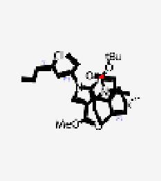 C=C/C=C(Cl)\C=C(/C=C)n1cc(C(=O)OC)c2c(/C3=C\[C@@H](C)CN(C(=O)OC(C)(C)C)CCC3)c(C)cnc21